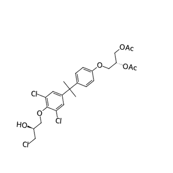 CC(=O)OC[C@@H](COc1ccc(C(C)(C)c2cc(Cl)c(OC[C@H](O)CCl)c(Cl)c2)cc1)OC(C)=O